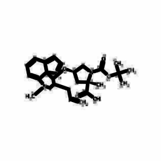 C=CCC1CN(C)C2=CC=CC3=CC=NC32C1O[C@H]1CN(C(=O)OC(C)(C)C)[C@](C)(C(=O)O)C1